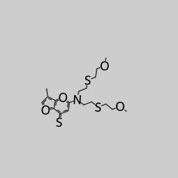 COCCSCCN(CCSCCOC)c1cc(=S)c2occ(C)c2o1